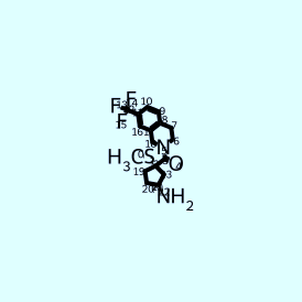 CSC1(C(=O)N2CCc3ccc(C(F)(F)F)cc3C2)CC[C@@H](N)C1